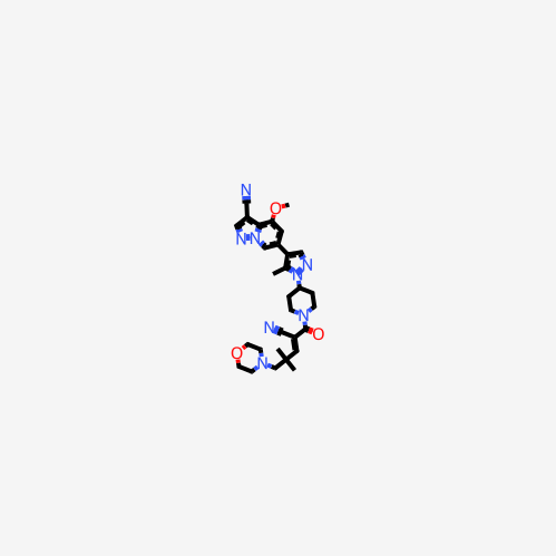 COc1cc(-c2cnn(C3CCN(C(=O)C(C#N)=CC(C)(C)CN4CCOCC4)CC3)c2C)cn2ncc(C#N)c12